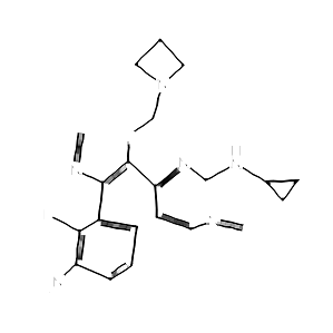 C=N\C=C/C(=N\CNC1CC1)C(/SCN1CCC1)=C(/N=C)c1cccc(N)c1F